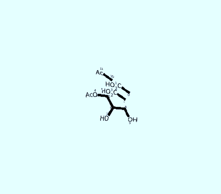 CC(=O)O.CC(=O)O.CC(=O)OCC(O)CO.CC(C)=O